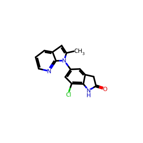 Cc1cc2cccnc2n1-c1cc(Cl)c2c(c1)CC(=O)N2